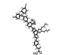 CCCCCCC1(CCCCCC)c2sc(-c3ccc(/C=C(\C)C(=O)O)cc3)cc2-c2cc(-c3ccc(-c4ccc(N(c5ccc(C)cc5)c5ccc(C)cc5)cc4)c4nsnc34)sc21